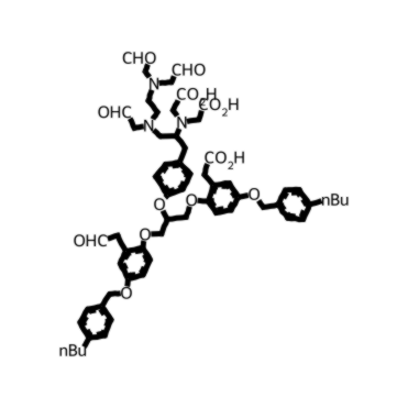 CCCCc1ccc(COc2ccc(OCC(COc3ccc(OCc4ccc(CCCC)cc4)cc3CC(=O)O)Oc3ccc(CC(CN(CC=O)CCN(CC=O)CC=O)N(CC(=O)O)CC(=O)O)cc3)c(CC=O)c2)cc1